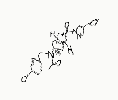 CC(=O)N(Cc1ccc(Cl)cc1)[C@@H]1C[C@@H]2CN(C(=O)n3cc(Cl)cn3)C[C@@H]2C1